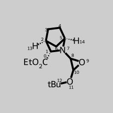 CCOC(=O)[C@@H]1[C@H]2CC[C@H](C2)N1C1OC1OC(C)(C)C